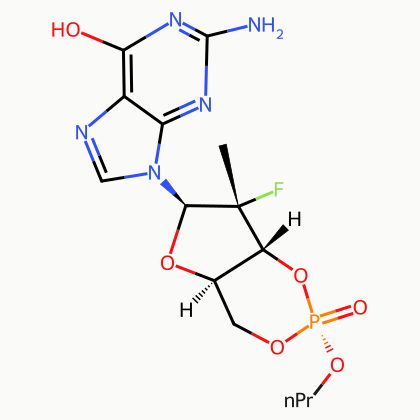 CCCO[P@]1(=O)OC[C@H]2O[C@@H](n3cnc4c(O)nc(N)nc43)[C@](C)(F)[C@@H]2O1